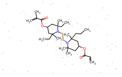 C=CC(=O)OC1CC(C)(C)N(SSN2C(C)(CC)CC(OC(=O)C(=C)C)CC2(C)CC)C(C)(CCC)C1